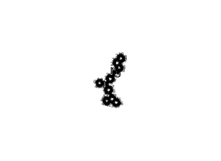 c1ccc(N(c2ccc(-c3nc4c(ccc5c6ccccc6ccc54)o3)cc2)c2ccc(-c3cc4ccccc4c4ccccc34)cc2)cc1